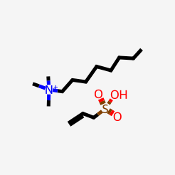 C=CCS(=O)(=O)O.CCCCCCCC[N+](C)(C)C